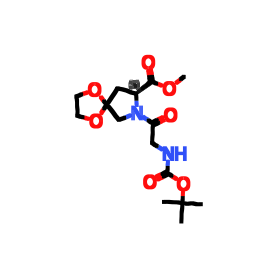 COC(=O)[C@@H]1CC2(CN1C(=O)CNC(=O)OC(C)(C)C)OCCO2